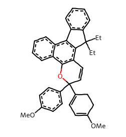 CCC1(CC)c2ccccc2-c2c1c1c(c3ccccc23)OC(C2=CC=C(OC)CC2)(c2ccc(OC)cc2)C=C1